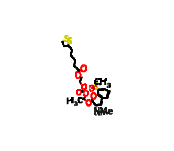 CN[C@@H](Cc1cccc([S+](C)[O-])c1)C(=O)OC(C)OC(=O)OCCOC(=O)CCCCC1CCSS1